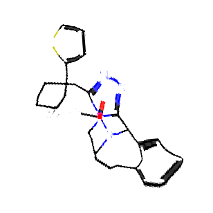 COC(=O)N1C2Cc3ccccc3C1c1nnc(C3(c4cccs4)CCC3)n1C2